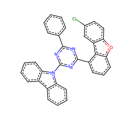 Clc1ccc2oc3cccc(-c4nc(-c5ccccc5)nc(-n5c6ccccc6c6ccccc65)n4)c3c2c1